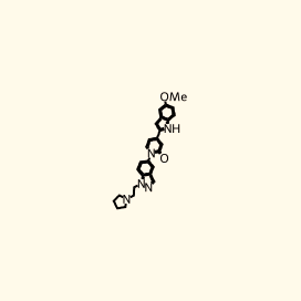 COc1ccc2[nH]c(-c3ccn(-c4ccc5c(cnn5CCN5CCCC5)c4)c(=O)c3)cc2c1